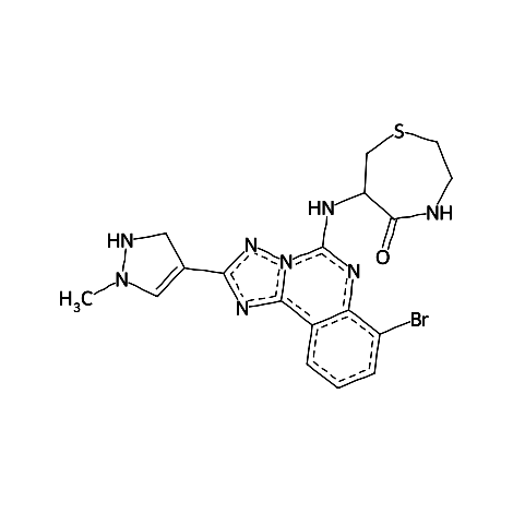 CN1C=C(c2nc3c4cccc(Br)c4nc(NC4CSCCNC4=O)n3n2)CN1